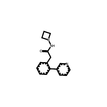 O=C(Cc1ccccc1-c1[c]nccc1)NN1CCC1